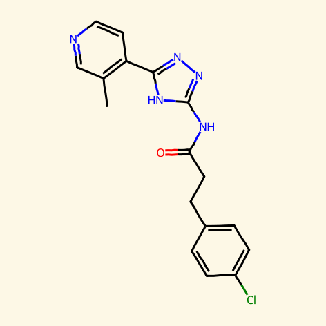 Cc1cnccc1-c1nnc(NC(=O)CCc2ccc(Cl)cc2)[nH]1